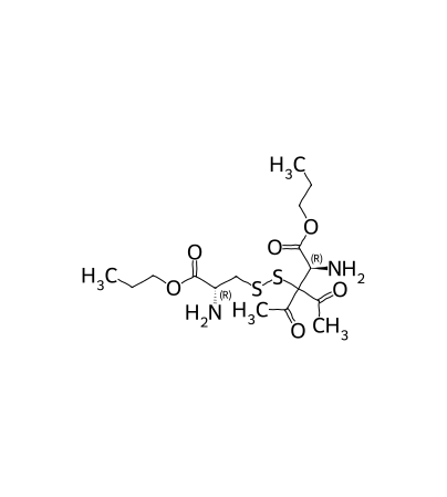 CCCOC(=O)[C@@H](N)C(SSC[C@H](N)C(=O)OCCC)(C(C)=O)C(C)=O